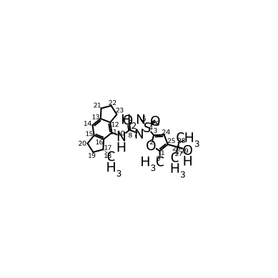 Cc1oc(S(N)(=O)=NC(=O)Nc2c3c(cc4c2[C@H](C)CC4)CCC3)cc1C(C)(C)O